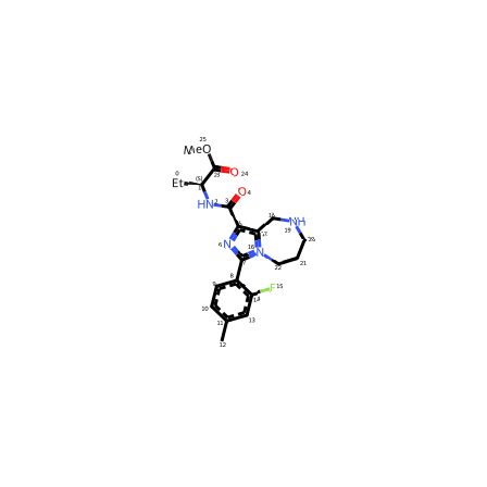 CC[C@H](NC(=O)c1nc(-c2ccc(C)cc2F)n2c1CNCCC2)C(=O)OC